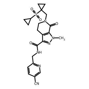 Cn1nc(C(=O)NCc2ccc(C#N)cn2)c2c1C(=O)N(CC1(S(=O)(=O)C3CC3)CC1)CC2